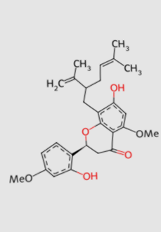 C=C(C)C(CC=C(C)C)Cc1c(O)cc(OC)c2c1O[C@H](c1ccc(OC)cc1O)CC2=O